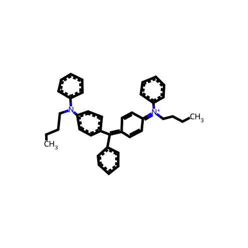 CCCCN(c1ccccc1)c1ccc(C(=C2C=CC(=[N+](CCCC)c3ccccc3)C=C2)c2ccccc2)cc1